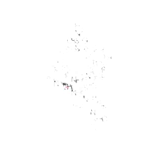 C=CC(=O)N1C[C@H](C)N(c2nc(=O)n3c4nc(c(F)cc24)-c2c(F)cccc2CN(S(N)(=O)=O)CCCc2ccnc(C(C)C)c2-3)C[C@H]1C